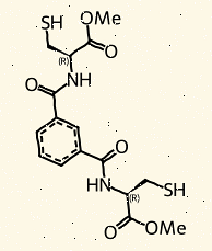 COC(=O)[C@H](CS)NC(=O)c1cccc(C(=O)N[C@@H](CS)C(=O)OC)c1